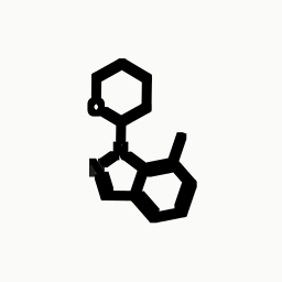 Cc1cccc2cnn(C3CCCCO3)c12